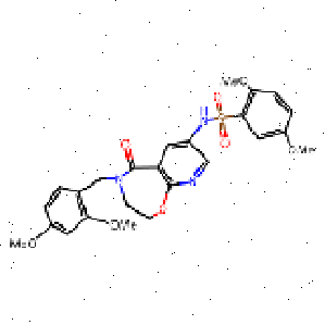 COc1ccc(CN2CCOc3ncc(NS(=O)(=O)c4cc(OC)ccc4OC)cc3C2=O)c(OC)c1